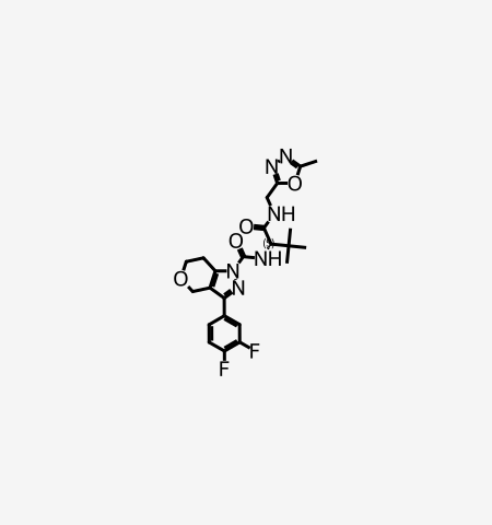 Cc1nnc(CNC(=O)[C@@H](NC(=O)n2nc(-c3ccc(F)c(F)c3)c3c2CCOC3)C(C)(C)C)o1